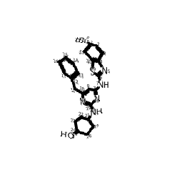 CC(C)(C)c1ccc2nc(Nc3cc(Cc4ccccc4)nc(NC4CCC(O)CC4)n3)sc2c1